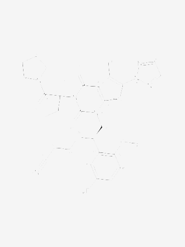 CC[C@@](C)(C(=O)N1CCCC1)n1c(=O)c2c(C)c(-n3nccn3)sc2n(C[C@H](OCCC#N)c2cc(F)ccc2OC)c1=O